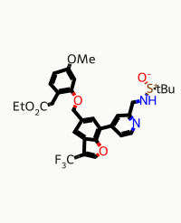 CCOC(=O)Cc1ccc(OC)cc1OCc1cc(-c2ccnc(CN[S@@+]([O-])C(C)(C)C)c2)c2occ(C(F)(F)F)c2c1